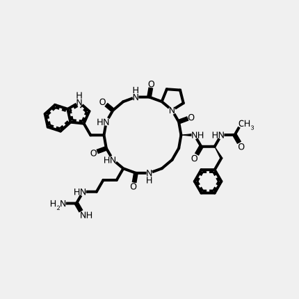 CC(=O)N[C@@H](Cc1ccccc1)C(=O)N[C@H]1CCCNC(=O)C(CCCNC(=N)N)NC(=O)C(Cc2c[nH]c3ccccc23)NC(=O)CNC(=O)C2CCCN2C1=O